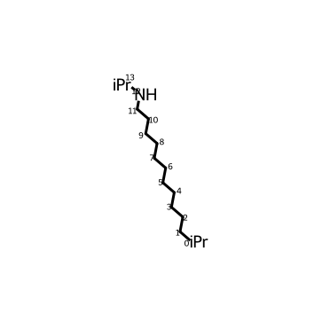 CC(C)CCCCCCCCCCCNC(C)C